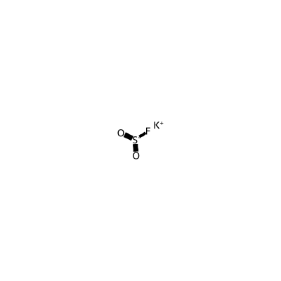 O=[S-](=O)F.[K+]